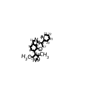 Cc1noc(C)c1-c1ccc2cnn3c2c1OCC3c1ccccn1